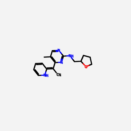 Cc1cnc(NCC2CCCO2)nc1C(C#N)=C1C=CC=CN1